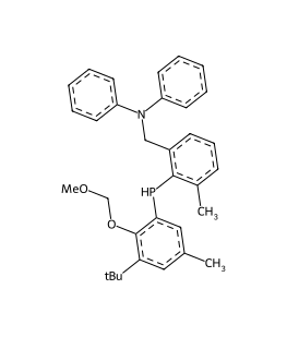 COCOc1c(Pc2c(C)cccc2CN(c2ccccc2)c2ccccc2)cc(C)cc1C(C)(C)C